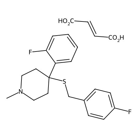 CN1CCC(SCc2ccc(F)cc2)(c2ccccc2F)CC1.O=C(O)C=CC(=O)O